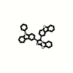 c1ccc(-n2c3ccccc3c3cc(-c4nc5oc6ccccc6n5c4-c4ccc5oc6ccccc6c5c4)ccc32)cc1